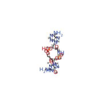 COC1C2COP(=O)(O)OC3CC(n4cnc5c(N)ncnc54)OC3CNS(=O)(=O)OC1C(n1cnc3c(=O)[nH]c(N)nc31)O2